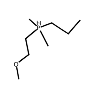 CCC[PH](C)(C)CCOC